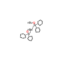 CCCCO[Si](CCCC[Si](OCCCC)(c1ccccc1)c1ccccc1)(c1ccccc1)c1ccccc1